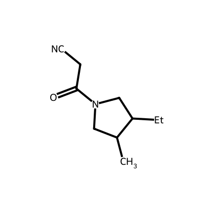 CCC1CN(C(=O)CC#N)CC1C